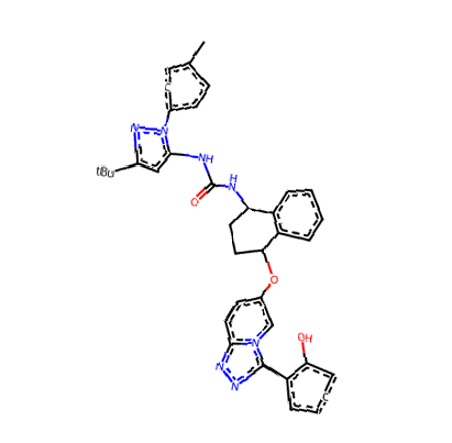 Cc1ccc(-n2nc(C(C)(C)C)cc2NC(=O)NC2CCC(Oc3ccc4nnc(-c5ccccc5O)n4c3)c3ccccc32)cc1